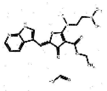 CCOC(=O)C1=C(N(C)CCN(C)C)OC(=Cc2c[nH]c3ncccc23)C1=O.O=CO